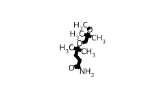 COC(C)(C)COC(C)(C)CCC(N)=O